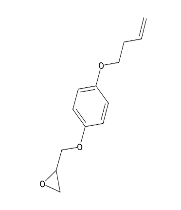 C=CCCOc1ccc(OCC2CO2)cc1